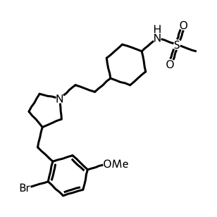 COc1ccc(Br)c(CC2CCN(CCC3CCC(NS(C)(=O)=O)CC3)C2)c1